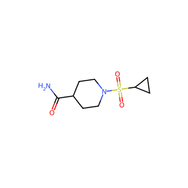 NC(=O)C1CCN(S(=O)(=O)C2CC2)CC1